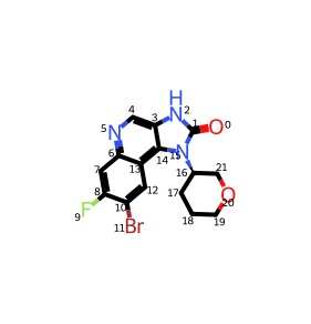 O=c1[nH]c2cnc3cc(F)c(Br)cc3c2n1[C@@H]1CCCOC1